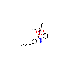 CCCCCc1ccc(C(=S)Nc2ccccc2OP(=O)(OCCC)SCCC)cc1